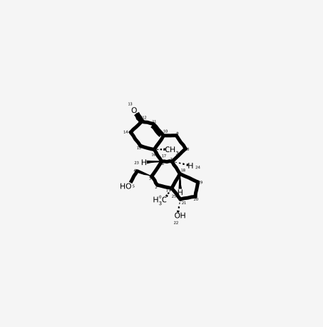 C[C@]12C[C@@H](CO)[C@H]3[C@@H](CCC4=CC(=O)CC[C@@]43C)[C@@H]1CC[C@@H]2O